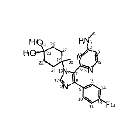 CNc1ccnc(-c2c(-c3ccc(F)cc3)ncn2C2(C)CCC(O)(O)CC2)n1